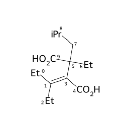 CCC(CC)=C(C(=O)O)C(CC)(CC(C)C)C(=O)O